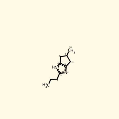 CCCc1nc2c([nH]1)CC(C)C2